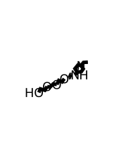 CCN1CCC(NCCOCCOCCOCCO)CC1